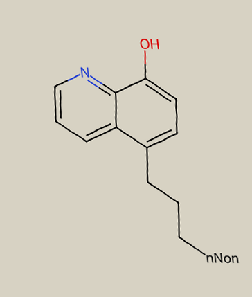 CCCCCCCCCCCCc1ccc(O)c2ncccc12